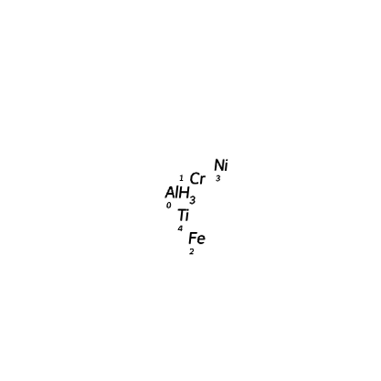 [AlH3].[Cr].[Fe].[Ni].[Ti]